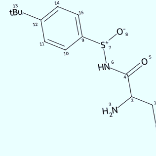 CC(C)CC(N)C(=O)N[S+]([O-])c1ccc(C(C)(C)C)cc1